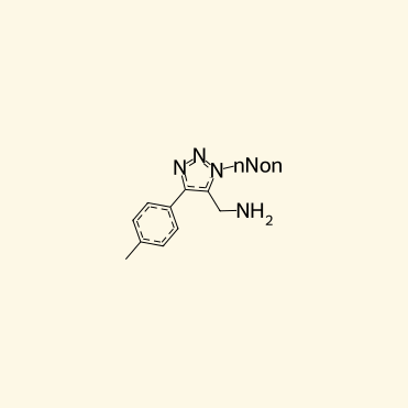 CCCCCCCCCn1nnc(-c2ccc(C)cc2)c1CN